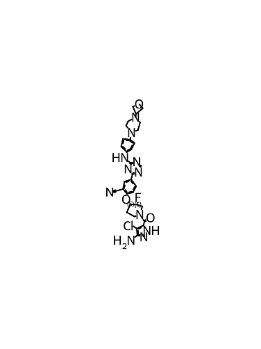 N#Cc1cc(-c2ncnc(Nc3ccc(N4CCN(C5COC5)CC4)cc3)n2)ccc1O[C@H]1CCN(C(=O)c2[nH]nc(N)c2Cl)C[C@@H]1F